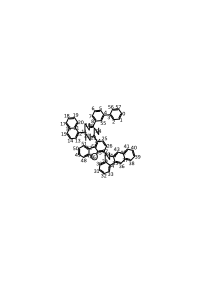 c1ccc(-c2cccc(-c3nc(-c4cccc5ccccc45)nc(-c4ccc(-n5c6ccccc6c6cc7ccccc7cc65)c5oc6ccccc6c45)n3)c2)cc1